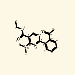 CCOC(=O)c1cnc(-c2ccccc2C(C)=O)nc1N(C)C